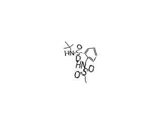 CC(C)(C)NS(=O)(=O)c1ccccc1NS(C)(=O)=O